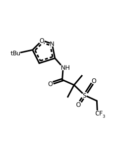 CC(C)(C)c1cc(NC(=O)C(C)(C)S(=O)(=O)CC(F)(F)F)no1